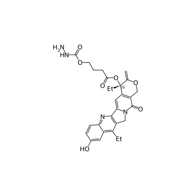 C=C1OCc2c(cc3n(c2=O)Cc2c-3nc3ccc(O)cc3c2CC)[C@]1(CC)OC(=O)CCCOC(=O)NN